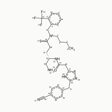 CCCCN(Cc1ccccc1C(F)(F)F)C(=S)CC[C@@H](CN)NC(=O)Cc1cnc(Cc2ccc(C#N)cc2)[nH]1